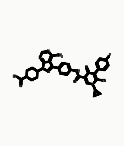 CC(C)C(=O)N1CCC(n2nc(-c3ccc(NC(=O)c4cn(C5CC5)c(C#N)c(-c5ccc(F)cc5)c4=O)cc3)c3c(N)ncnc32)CC1